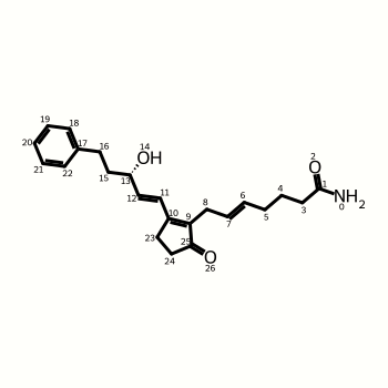 NC(=O)CCC/C=C/CC1=C(/C=C/[C@@H](O)CCc2ccccc2)CCC1=O